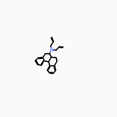 C=CCN(CC=C)C1Cc2ccccc2C2c3ccccc3CCC21